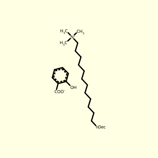 CCCCCCCCCCCCCCCCCCCCCC[N+](C)(C)C.O=C([O-])c1ccccc1O